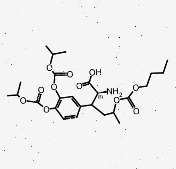 CCCCOC(=O)OC(C)CC(c1ccc(OC(=O)OC(C)C)c(OC(=O)OC(C)C)c1)[C@H](N)C(=O)O